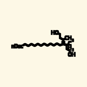 CCCCCCCCCCCCCCCCCCCCCCN(C(C)CCO)C(C)CCO